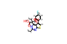 CCc1nc(C(CC)(C(=O)O)C(=O)O)c2c(-c3ccc(F)cc3)csc2n1